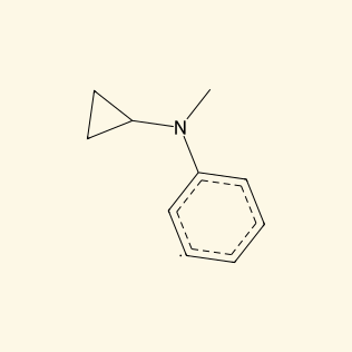 CN(c1c[c]ccc1)C1CC1